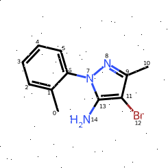 Cc1ccccc1-n1nc(C)c(Br)c1N